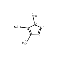 COc1c(C)cnn1C(C)(C)C